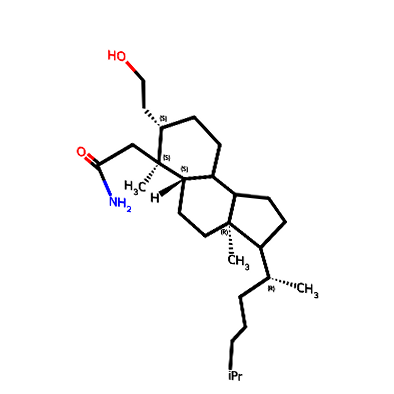 CC(C)CCC[C@@H](C)C1CCC2C3CC[C@@H](CCO)[C@](C)(CC(N)=O)[C@H]3CC[C@@]21C